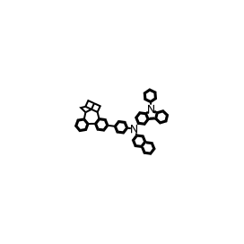 c1ccc(-n2c3ccccc3c3cc(N(c4ccc(-c5ccc6c(c5)C5CC7CC8CC(c9ccccc9-6)C875)cc4)c4ccc5ccccc5c4)ccc32)cc1